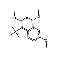 COc1ccc2c(C(C)(C)C)c(OC)cc(OC)c2c1